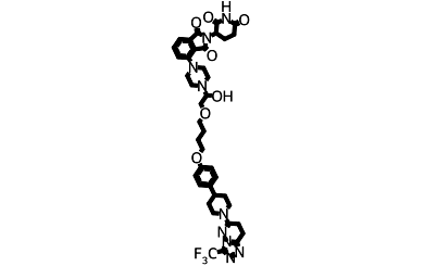 O=C1CCC(N2C(=O)c3cccc(N4CCN(C(O)COCCCCOc5ccc(C6CCN(C7=Nn8c(nnc8C(F)(F)F)CC7)CC6)cc5)CC4)c3C2=O)C(=O)N1